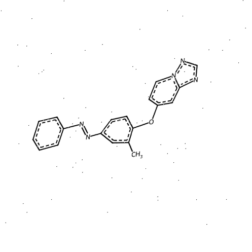 Cc1cc(N=Nc2ccccc2)ccc1Oc1ccn2ncnc2c1